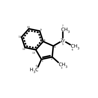 CC1=C(C)[CH]([Zr]([CH3])[CH3])c2ccccc21